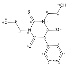 O=C1C(c2ccccc2)C(=O)N(CCO)C(=S)N1CCO